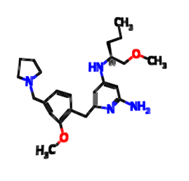 CCC[C@@H](COC)Nc1cc(N)nc(Cc2ccc(CN3CCCC3)cc2OC)c1